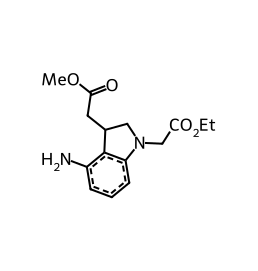 CCOC(=O)CN1CC(CC(=O)OC)c2c(N)cccc21